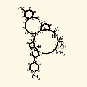 C[C@@H]1[C@@H](C)CCC[C@@]2(CC(N3CCN(C)CC3)=NO2)[C@@H]2CC[C@H]2CN2CCCCc3cc(Cl)ccc3COc3ccc(cc32)C(=O)NS1(=O)=O